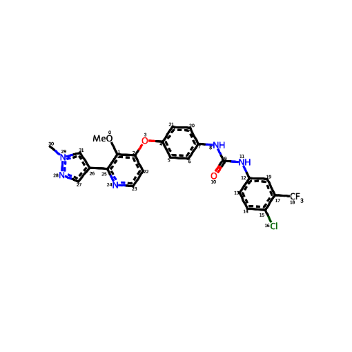 COc1c(Oc2ccc(NC(=O)Nc3ccc(Cl)c(C(F)(F)F)c3)cc2)ccnc1-c1cnn(C)c1